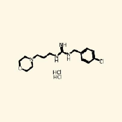 Cl.Cl.N=C(NCCCN1CCOCC1)NCc1ccc(Cl)cc1